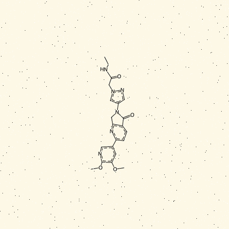 CCNC(=O)Cn1cc(N2Cc3nc(-c4cnc(OC)c(OC)c4)ccc3C2=O)cn1